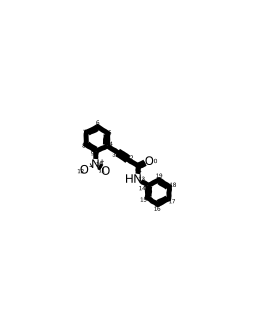 O=C(C#Cc1ccccc1[N+](=O)[O-])Nc1ccccc1